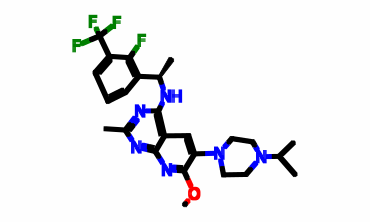 COc1nc2nc(C)nc(N[C@H](C)c3cccc(C(F)(F)F)c3F)c2cc1N1CCN(C(C)C)CC1